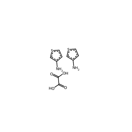 Nc1ccsc1.Nc1ccsc1.O=C(O)C(=O)O